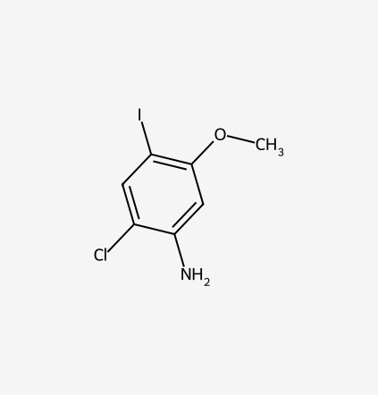 COc1cc(N)c(Cl)cc1I